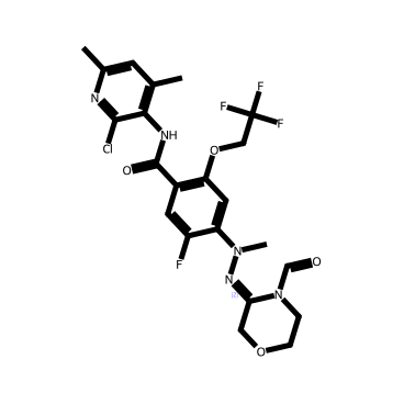 Cc1cc(C)c(NC(=O)c2cc(F)c(N(C)/N=C3/COCCN3C=O)cc2OCC(F)(F)F)c(Cl)n1